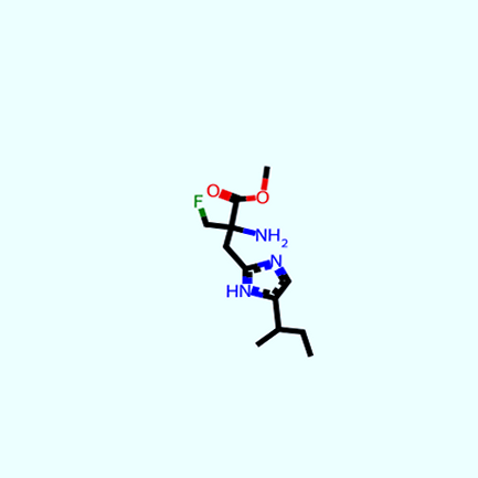 CCC(C)c1cnc(CC(N)(CF)C(=O)OC)[nH]1